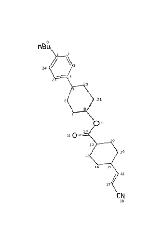 CCCCc1ccc(C2CCC(OC(=O)C3CCC(C=CC#N)CC3)CC2)cc1